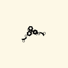 CC1C=C(OCC2CO2)C=CC1(C(=O)O)C1(c2ccc(OCC3CO3)cc2)CCCCC1